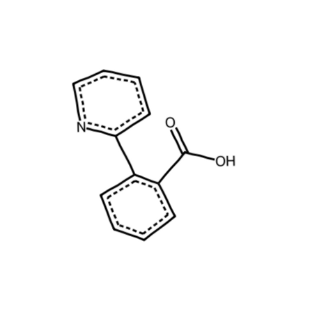 O=C(O)c1ccccc1-c1ccccn1